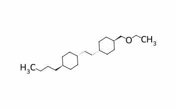 CCCC[C@H]1CC[C@H](CC[C@H]2CC[C@H](COCC)CC2)CC1